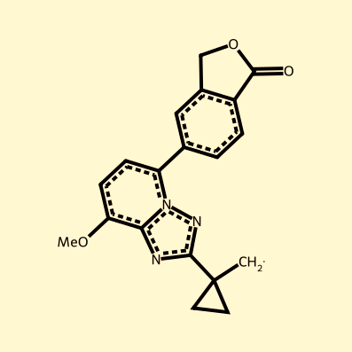 [CH2]C1(c2nc3c(OC)ccc(-c4ccc5c(c4)COC5=O)n3n2)CC1